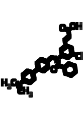 CN(C)c1ccc(-c2ccc(CN(C(=O)C3CCCCC3)c3cc(Cl)cc(C=CC(=O)O)c3)cc2)cc1